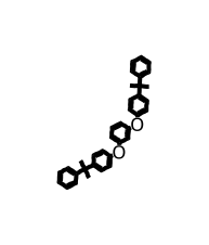 CC(C)(c1ccccc1)c1ccc(Oc2cccc(Oc3ccc(C(C)(C)c4ccccc4)cc3)c2)cc1